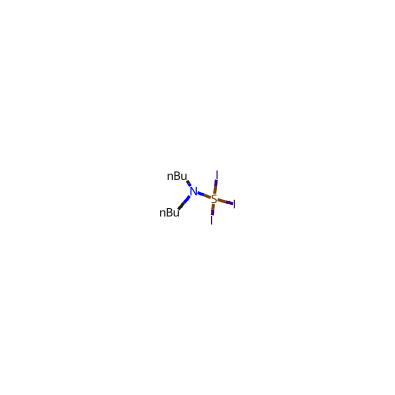 CCCCN(CCCC)S(I)(I)I